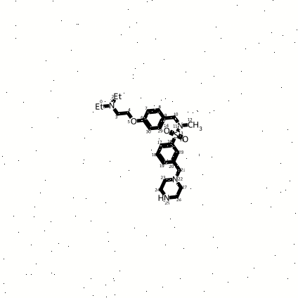 CCN(CC)CCOc1ccc(CN(C)S(=O)(=O)c2cccc(CN3CCNCC3)c2)cc1